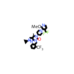 COc1nccc(C(F)F)c1N1CCC(N2C(=O)N(Cc3ccccc3C(F)(F)F)c3nn(C4CC4)cc3[C@H]2C)CC1